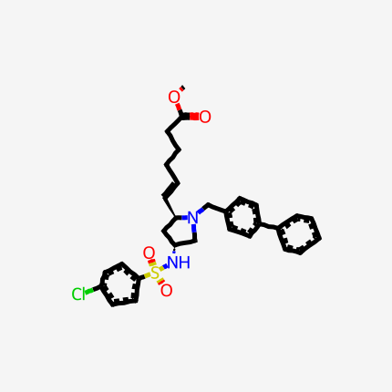 COC(=O)CCCC=C[C@@H]1C[C@@H](NS(=O)(=O)c2ccc(Cl)cc2)CN1Cc1ccc(-c2ccccc2)cc1